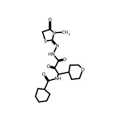 CN1C(=O)CS/C1=N\NC(=O)C(=O)C(NC(=O)C1CCCCC1)C1CCOCC1